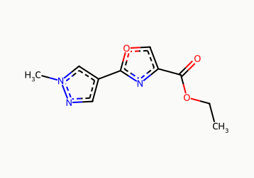 CCOC(=O)c1coc(-c2cnn(C)c2)n1